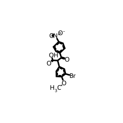 COc1ccc(C(C(=O)O)C(=O)c2ccc([N+](=O)[O-])cc2)cc1Br